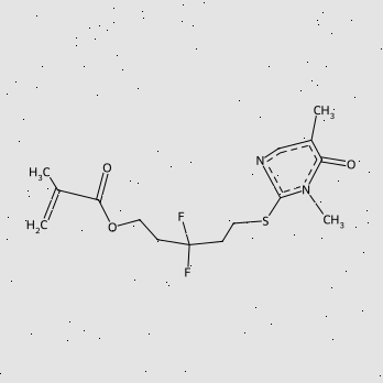 C=C(C)C(=O)OCCC(F)(F)CCSc1ncc(C)c(=O)n1C